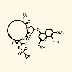 COc1ccc2c(O[C@@H]3C[C@H]4C(=O)N[C@]5(C(=O)NS(=O)(=O)C6CC6)C[C@H]5/C=C\CCCCC[C@H](C)C(=O)N4C3)cc(OC(C)C)nc2c1C